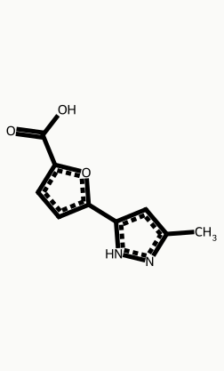 Cc1cc(-c2ccc(C(=O)O)o2)[nH]n1